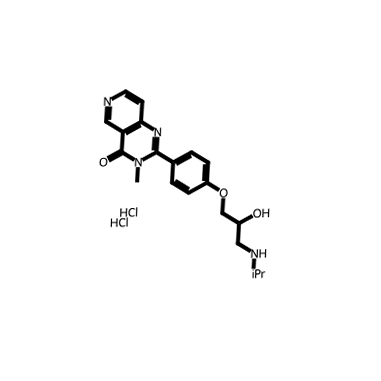 CC(C)NCC(O)COc1ccc(-c2nc3ccncc3c(=O)n2C)cc1.Cl.Cl